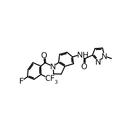 Cn1ccc(C(=O)Nc2ccc3c(c2)CCN3C(=O)c2ccc(F)cc2C(F)(F)F)n1